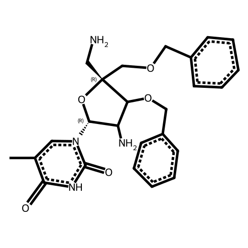 Cc1cn([C@@H]2O[C@](CN)(COCc3ccccc3)C(OCc3ccccc3)C2N)c(=O)[nH]c1=O